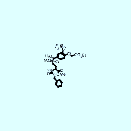 CCOC(=O)COc1ccc(C(O)P(=O)(O)CCC(NC(=O)OCc2ccccc2)C(=O)OC)cc1OC(F)(F)F